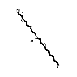 Cl.NCCOCCOCCOCCOCCCCCCCl